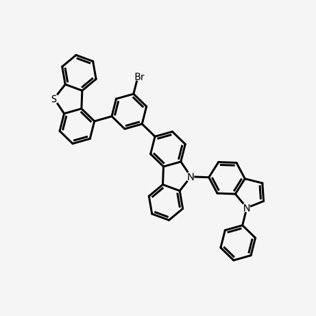 Brc1cc(-c2ccc3c(c2)c2ccccc2n3-c2ccc3ccn(-c4ccccc4)c3c2)cc(-c2cccc3sc4ccccc4c23)c1